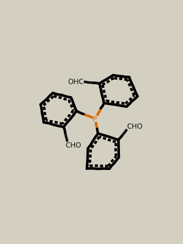 O=Cc1ccccc1P(c1ccccc1C=O)c1ccccc1C=O